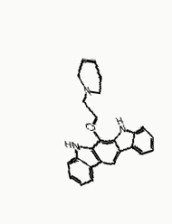 c1ccc2c(c1)[nH]c1c(OCCN3CCCCC3)c3[nH]c4ccccc4c3cc12